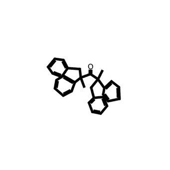 CC(Cc1ccccc1)(C(=O)C(C)(Cc1ccccc1)c1ccccc1)c1ccccc1